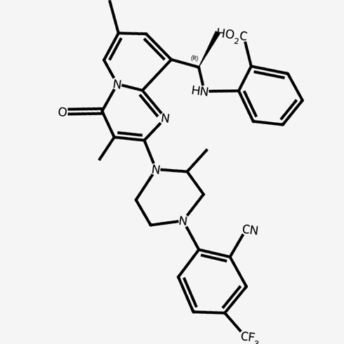 Cc1cc([C@@H](C)Nc2ccccc2C(=O)O)c2nc(N3CCN(c4ccc(C(F)(F)F)cc4C#N)CC3C)c(C)c(=O)n2c1